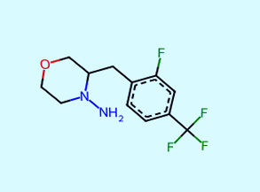 NN1CCOCC1Cc1ccc(C(F)(F)F)cc1F